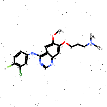 COc1cc2c(Nc3ccc(F)c(Cl)c3)ncnc2cc1OCCCN(C)C